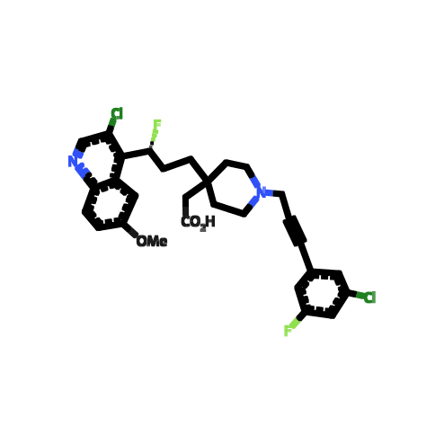 COc1ccc2ncc(Cl)c([C@H](F)CCC3(CC(=O)O)CCN(CC#Cc4cc(F)cc(Cl)c4)CC3)c2c1